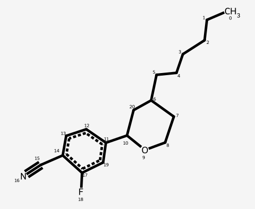 CCCCCCC1CCOC(c2ccc(C#N)c(F)c2)C1